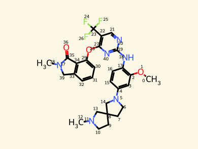 COc1cc(N2CCC3(CCN(C)C3)C2)ccc1Nc1ncc(C(F)(F)F)c(Oc2cccc3c2C(=O)N(C)C3)n1